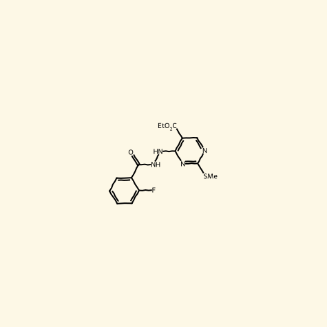 CCOC(=O)c1cnc(SC)nc1NNC(=O)c1ccccc1F